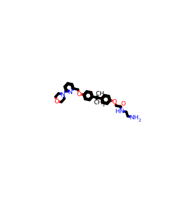 CC(C)(c1ccc(OCC(=O)NCCN)cc1)c1ccc(OCc2cccc(N3CCOCC3)n2)cc1